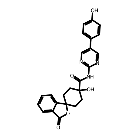 O=C1OC2(CCC(O)(C(=O)Nc3ncc(-c4ccc(O)cc4)cn3)CC2)c2ccccc21